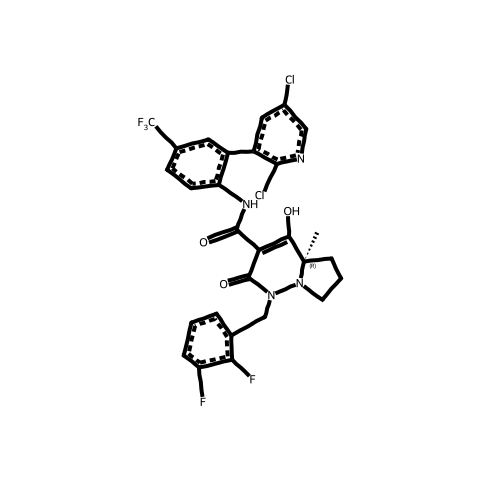 C[C@]12CCCN1N(Cc1cccc(F)c1F)C(=O)C(C(=O)Nc1ccc(C(F)(F)F)cc1-c1cc(Cl)cnc1Cl)=C2O